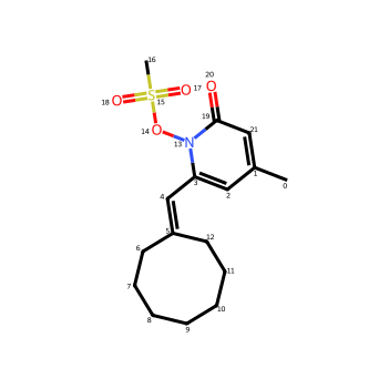 Cc1cc(C=C2CCCCCCC2)n(OS(C)(=O)=O)c(=O)c1